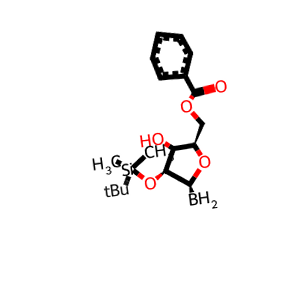 B[C@@H]1O[C@H](COC(=O)c2ccccc2)C(O)[C@@H]1O[Si](C)(C)C(C)(C)C